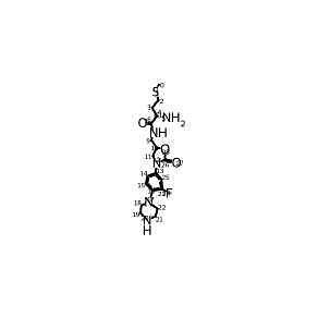 CSCC[C@H](N)C(=O)NCC1CN(c2ccc(N3CCNCC3)c(F)c2)C(=O)O1